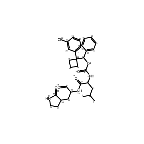 CC(C)CC(NC(=O)OC(c1ccccc1)C1(c2cccc(Cl)c2)CCC1)C(=O)NC(C=O)CC1CCNC1=O